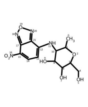 CC1OC(CO)C(O)C(O)C1Nc1ccc([N+](=O)[O-])c2nonc12